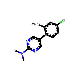 CN(C)c1ncc(-c2ccc(Cl)cc2C=O)cn1